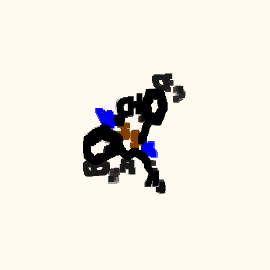 Cc1nc2cccc(C(C(=O)O)c3sc(-c4ccc(C(F)(F)F)cc4)nc3C)c2s1